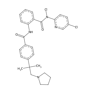 CC(C)(CN1CCCC1)c1ccc(C(=O)Nc2ccccc2C(=O)N(Cl)c2ccc(Cl)cn2)cc1